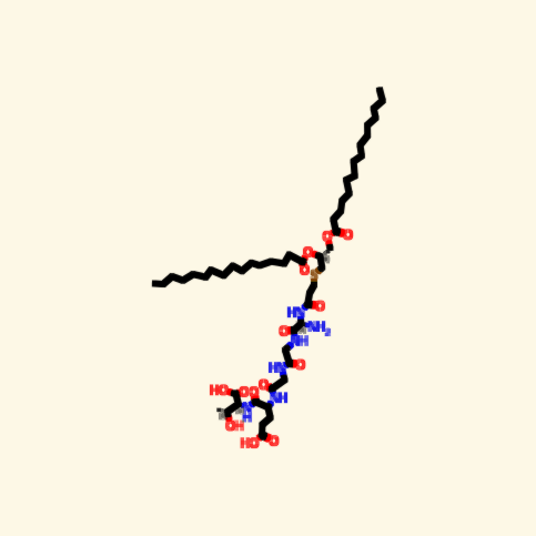 CCCCCCCCCCCCCCCC(=O)OC[C@H](CSCCC(=O)N[C@@H](N)C(=O)NCC(=O)NCC(=O)NC(CCC(=O)O)C(=O)N[C@H](C(=O)O)[C@@H](C)O)OC(=O)CCCCCCCCCCCCCCC